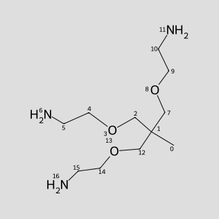 CC(COCCN)(COCCN)COCCN